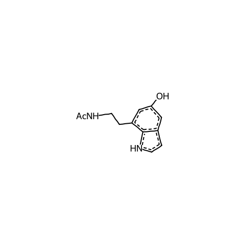 CC(=O)NCCc1cc(O)cc2cc[nH]c12